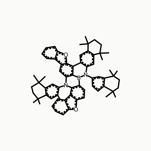 Cc1cc2c(cc1N1c3cc4c(oc5ccccc54)c4c3B(c3ccc5oc6ccccc6c5c31)N(c1ccc3c(c1)C(C)(C)CCC3(C)C)c1cc3c(cc1-4)C(C)(C)CCC3(C)C)C(C)(C)CCC2(C)C